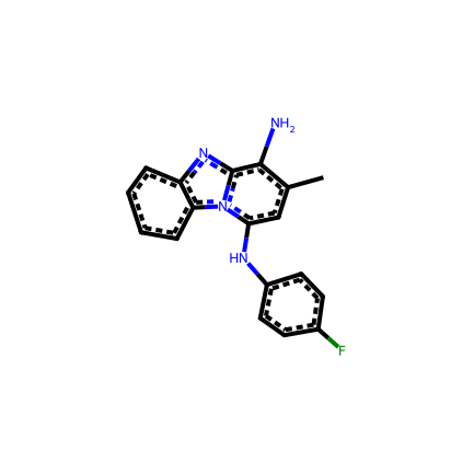 Cc1cc(Nc2ccc(F)cc2)n2c(nc3ccccc32)c1N